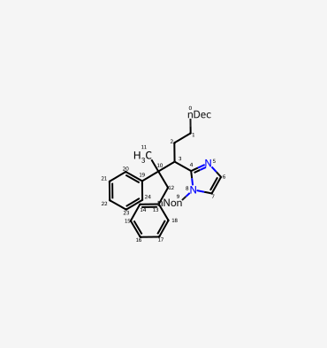 CCCCCCCCCCCCC(c1nccn1CCCCCCCCC)C(C)(Cc1ccccc1)c1ccccc1